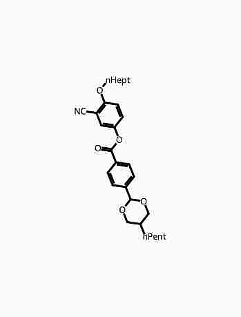 CCCCCCCOc1ccc(OC(=O)c2ccc(C3OCC(CCCCC)CO3)cc2)cc1C#N